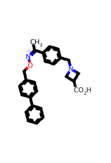 C/C(=N/OCc1ccc(-c2ccccc2)cc1)c1ccc(CN2CC(C(=O)O)C2)cc1